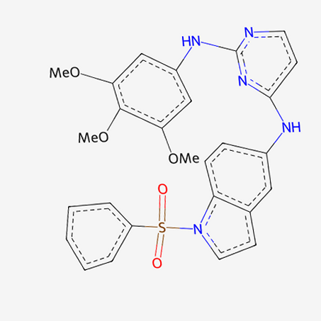 COc1cc(Nc2nccc(Nc3ccc4c(ccn4S(=O)(=O)c4ccccc4)c3)n2)cc(OC)c1OC